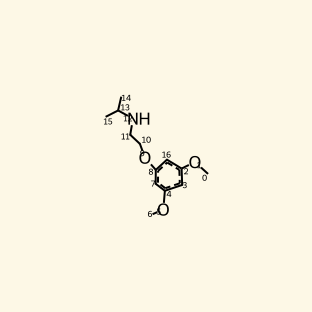 COc1cc(OC)cc(OCCNC(C)C)c1